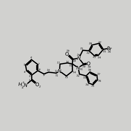 NC(=O)c1ccccc1[CH]CCN1CCC2(CC1)C(=O)N(Cc1ccc(Br)cc1)C(=O)N2Cc1ccccc1